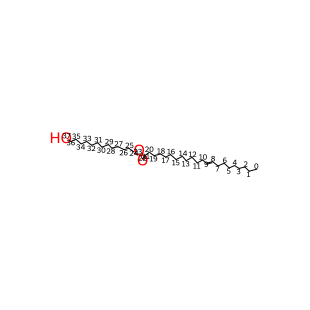 CCCCCCCCC=CCCCCCCCCCCCC(=O)OCCCCCCCCCCCCCO